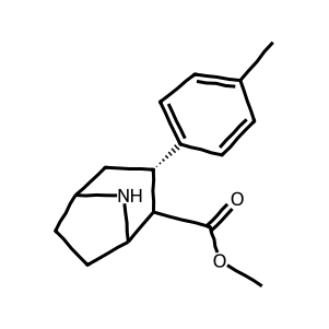 COC(=O)C1C2CCC(C[C@@H]1c1ccc(C)cc1)N2